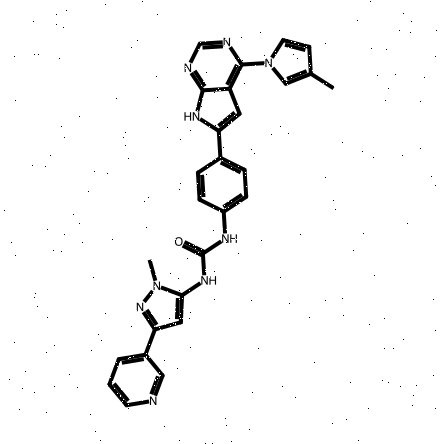 Cc1ccn(-c2ncnc3[nH]c(-c4ccc(NC(=O)Nc5cc(-c6cccnc6)nn5C)cc4)cc23)c1